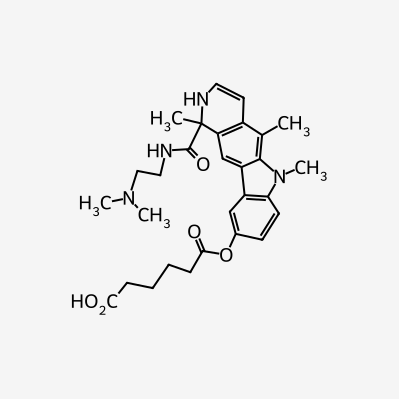 Cc1c2c(cc3c4cc(OC(=O)CCCCC(=O)O)ccc4n(C)c13)C(C)(C(=O)NCCN(C)C)NC=C2